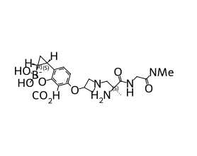 CNC(=O)CNC(=O)[C@@](C)(N)CN1CC(Oc2ccc3c(c2C(=O)O)O[B-](O)(O)[C@@H]2C[C@H]32)C1